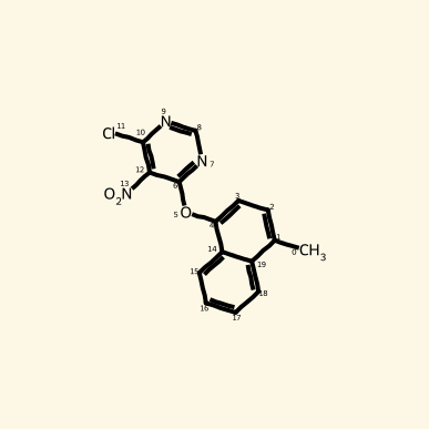 Cc1ccc(Oc2ncnc(Cl)c2[N+](=O)[O-])c2ccccc12